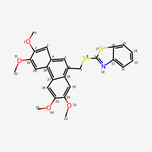 COc1cc2cc(CSc3nc4ccccc4s3)c3cc(OC)c(OC)cc3c2cc1OC